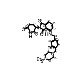 CCSN1CCN(Cc2ccc(CNc3cccc4c3C(=O)N(C3CCC(=O)NC3=O)C4=O)cc2F)CC1